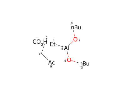 CC(=O)CC(=O)O.CCCC[O][Al]([CH2]C)[O]CCCC